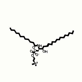 CCCCCCCCCCCCC=CC[C@@H](O)[C@H](COP(=O)([O-])OCC[N+](C)(C)C)NC(=O)CCCCCCCCCCC